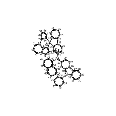 CCc1ccc2cccc3c2c1C1(c2ccccc2-c2ccc(N(c4ccc5c6ccccc6n(-c6ccccc6)c5c4)c4cccc5ccccc45)cc21)c1ccccc1-3